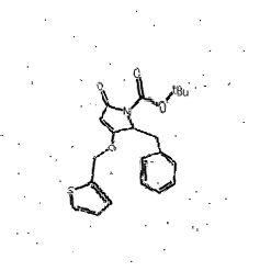 CC(C)(C)OC(=O)N1C(=O)C=C(OCc2cccs2)C1Cc1ccccc1